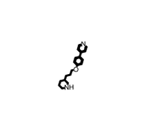 c1cc(-c2ccc(OCCCC3CCCNC3)cc2)ccn1